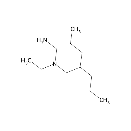 CCCC(CCC)CN(CC)CN